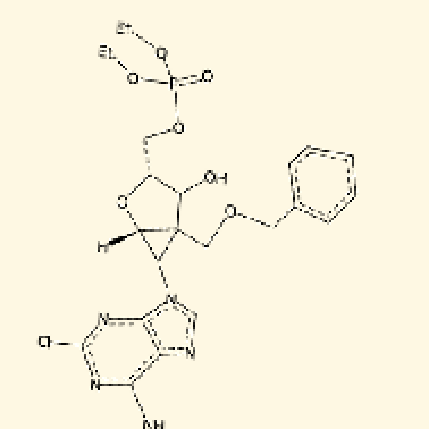 CCOP(=O)(OCC)OC[C@H]1O[C@H]2C(n3cnc4c(N)nc(Cl)nc43)C2(COCc2ccccc2)C1O